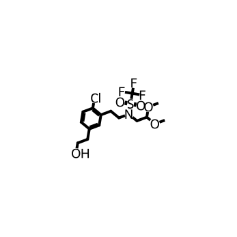 COC(CN(CCc1cc(CCO)ccc1Cl)S(=O)(=O)C(F)(F)F)OC